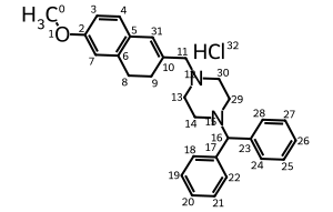 COc1ccc2c(c1)CCC(CN1CCN(C(c3ccccc3)c3ccccc3)CC1)=C2.Cl